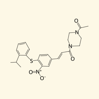 CC(=O)N1CCN(C(=O)C=Cc2ccc(Sc3ccccc3C(C)C)c([N+](=O)[O-])c2)CC1